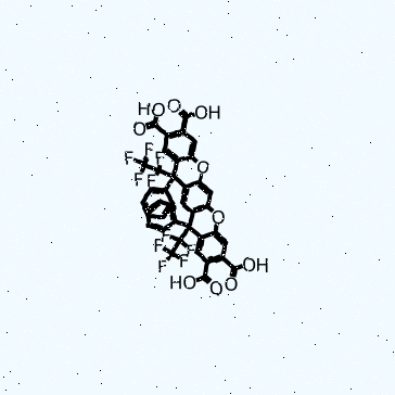 O=C(O)c1cc2c(cc1C(=O)O)C(c1ccccc1)(C(F)(F)C(F)(F)F)c1cc3c(cc1O2)Oc1cc(C(=O)O)c(C(=O)O)cc1C3(c1ccccc1)C(F)(F)C(F)(F)F